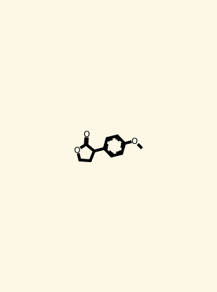 COc1ccc(C2CCOC2=O)cc1